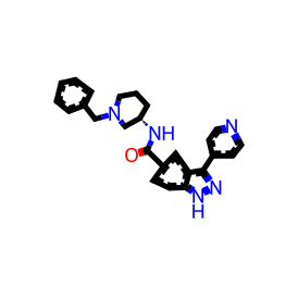 O=C(N[C@H]1CCCN(Cc2ccccc2)C1)c1ccc2[nH]nc(-c3ccncc3)c2c1